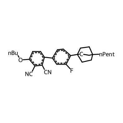 CCCCCC12CCC(c3ccc(-c4ccc(OCCCC)c(C#N)c4C#N)cc3F)(CC1)CC2